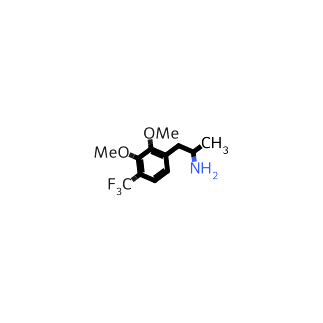 COc1c(CC(C)N)ccc(C(F)(F)F)c1OC